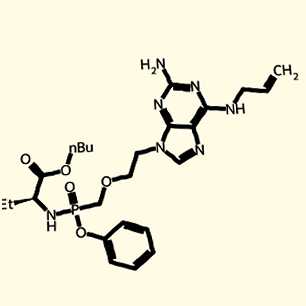 C=CCNc1nc(N)nc2c1ncn2CCOCP(=O)(N[C@@H](CC)C(=O)OCCCC)Oc1ccccc1